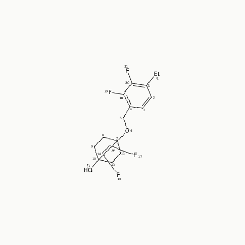 CCc1ccc(COC23CCC(O)(CC2)C(F)=C3F)c(F)c1F